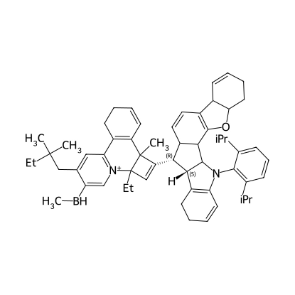 CBc1c[n+]2c(cc1CC(C)(C)CC)C1=C(C=CCC1)C1(C)C([C@@H]3C4C=CC5=C(OC6CCC=CC56)C4C4[C@@H]3C3=C(C=CCC3)N4c3c(C(C)C)cccc3C(C)C)=CC21CC